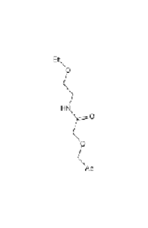 CCOCCNC(=O)COCC(C)=O